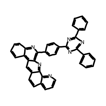 c1ccc(-c2nc(-c3ccccc3)nc(-c3ccc(-c4nc5ccccc5c5cc6ccc7cccnc7c6nc45)cc3)n2)cc1